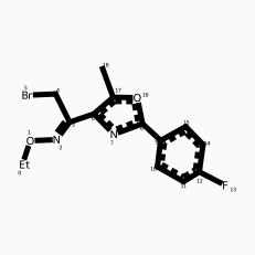 CCON=C(CBr)c1nc(-c2ccc(F)cc2)oc1C